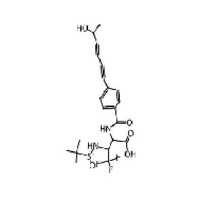 C[C@H](O)C#CC#Cc1ccc(C(=O)NC(C(=O)O)C(N[S@@+]([O-])C(C)(C)C)C(F)(F)F)cc1